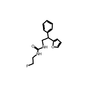 O=C(NCCF)NCC(c1ccccc1)c1ccco1